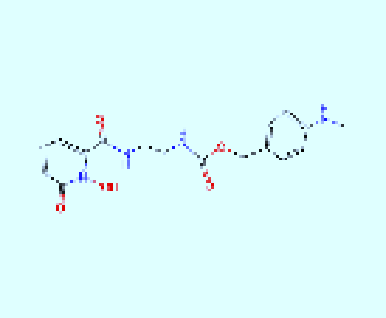 CNc1ccc(COC(=O)NCCNC(=O)c2cccc(=O)n2O)cc1